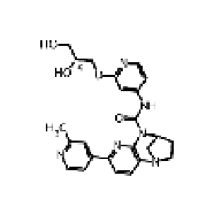 Cc1cc(-c2ccc3c(n2)N(C(=O)Nc2ccnc(OC[C@@H](O)CO)c2)C2CCN3C2)ccn1